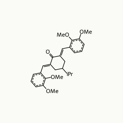 COc1cccc(/C=C2\CC(C(C)C)C/C(=C\c3cccc(OC)c3OC)C2=O)c1OC